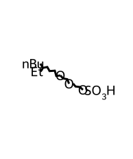 CCCCC(CC)CCCCOCCOCCCOS(=O)(=O)O